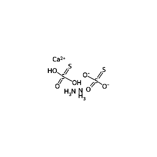 N.N.O=S(O)(O)=S.O=S([O-])([O-])=S.[Ca+2]